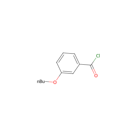 CCCCOc1cccc(C(=O)Cl)c1